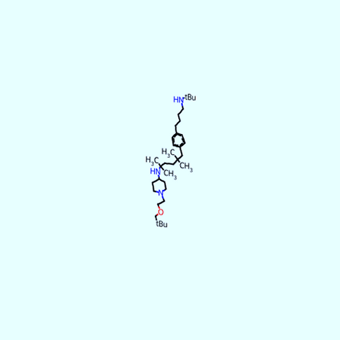 CC(C)(C)COCCN1CCC(NC(C)(C)CCC(C)(C)Cc2ccc(CCCCNC(C)(C)C)cc2)CC1